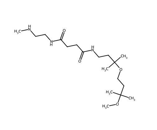 CNCCNC(=O)CCC(=O)NCCC(C)(C)OCCC(C)(C)OC